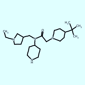 CCN1CCC(CN(C(=O)CN2CCC(C(C)(C)C)CC2)C2CCNCC2)C1